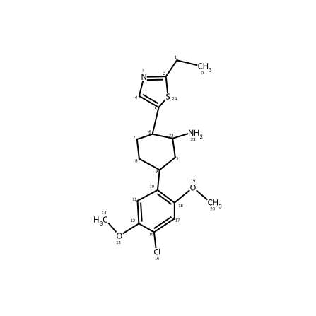 CCc1ncc(C2CCC(c3cc(OC)c(Cl)cc3OC)CC2N)s1